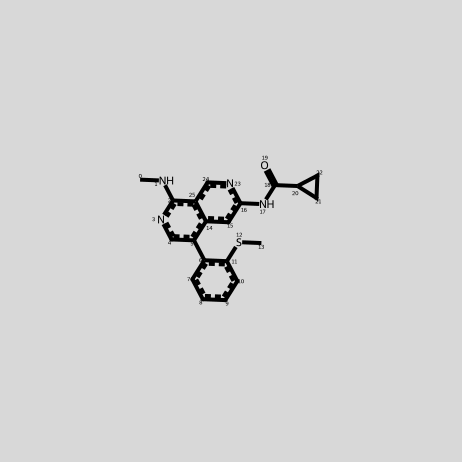 CNc1ncc(-c2ccccc2SC)c2cc(NC(=O)C3CC3)ncc12